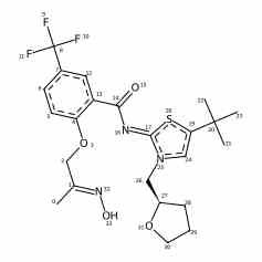 CC(COc1ccc(C(F)(F)F)cc1C(=O)N=c1sc(C(C)(C)C)cn1C[C@H]1CCCO1)=NO